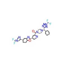 O=C(c1cc(-c2nc3cc(-c4cn(C(F)F)cn4)ccc3o2)ccn1)N1CCN(C(c2ccccc2)c2nnn(C(F)F)n2)CC1